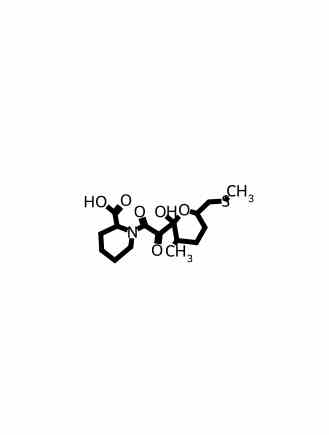 CSCC1CCC(C)C(O)(C(=O)C(=O)N2CCCCC2C(=O)O)O1